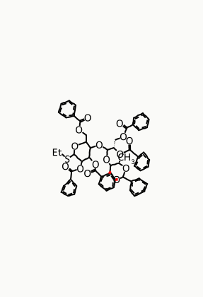 CCSC1OC(COC(=O)c2ccccc2)C(OC(OC2COC(c3ccccc3)O[C@@H]2C)[C@H](COC(=O)c2ccccc2)OC(=O)c2ccccc2)C(OC(=O)c2ccccc2)C1OC(=O)c1ccccc1